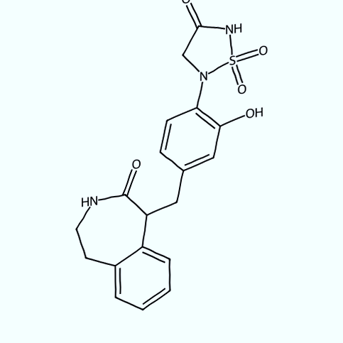 O=C1CN(c2ccc(CC3C(=O)NCCc4ccccc43)cc2O)S(=O)(=O)N1